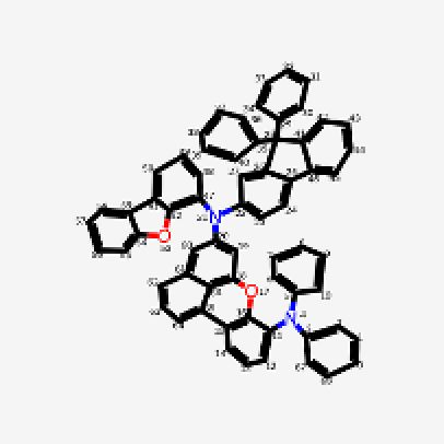 c1ccc(N(c2ccccc2)c2cccc3c2Oc2cc(N(c4ccc5c(c4)C(c4ccccc4)(c4ccccc4)c4ccccc4-5)c4cccc5c4oc4ccccc45)cc4cccc-3c24)cc1